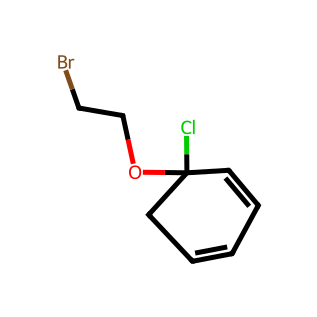 ClC1(OCCBr)C=CC=CC1